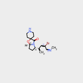 C=C(/C=C(Br)\C=N/C)[C@@H]1CC[C@H]2OC3(CCNCC3)C(=O)N21